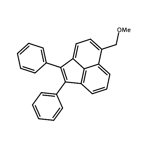 COCc1ccc2c3c(cccc13)C(c1ccccc1)=C2c1ccccc1